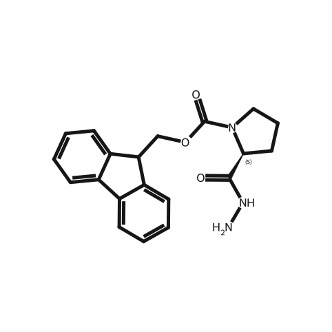 NNC(=O)[C@@H]1CCCN1C(=O)OCC1c2ccccc2-c2ccccc21